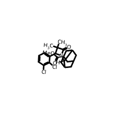 COC(=O)[C@]12CC3CC(C1)[C@@H](N1C(=O)C(C)(C)C1c1cccc(Cl)c1Cl)C(C3)C2